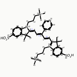 CC1(C)C(/C=C/C(=C/C=C2/N(CCC[N+](C)(C)C)c3ccc(S(=O)(=O)O)cc3C2(C)C)c2ccncc2)=[N+](CCC[N+](C)(C)C)c2ccc(S(=O)(=O)O)cc21